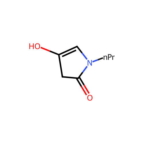 CCCN1C=C(O)CC1=O